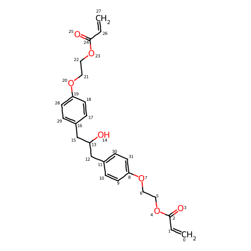 C=CC(=O)OCCOc1ccc(CC(O)Cc2ccc(OCCOC(=O)C=C)cc2)cc1